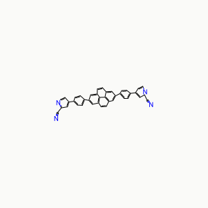 N#Cc1cc(-c2ccc(-c3cc4ccc5cc(-c6ccc(-c7ccnc(C#N)c7)cc6)cc6ccc(c3)c4c56)cc2)ccn1